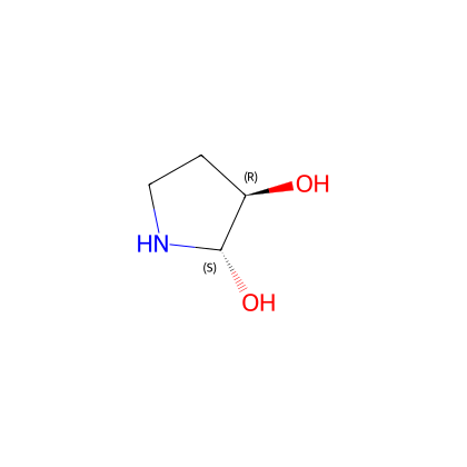 O[C@@H]1CCN[C@H]1O